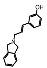 Oc1cccc(C=CCN2Cc3ccccc3C2)c1